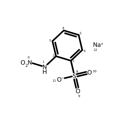 O=[N+]([O-])Nc1ccccc1S(=O)(=O)[O-].[Na+]